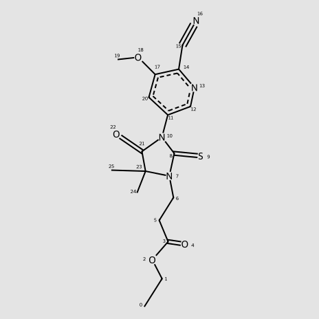 CCOC(=O)CCN1C(=S)N(c2cnc(C#N)c(OC)c2)C(=O)C1(C)C